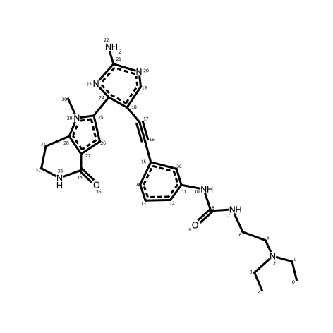 CCN(CC)CCNC(=O)Nc1cccc(C#Cc2cnc(N)nc2-c2cc3c(n2C)CCNC3=O)c1